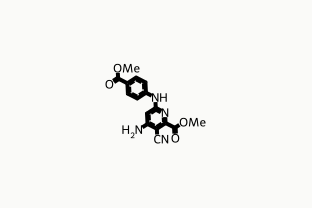 COC(=O)c1ccc(Nc2cc(N)c(C#N)c(C(=O)OC)n2)cc1